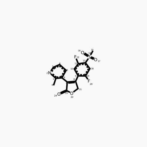 Cc1ncccc1C1=C(c2cc(F)c(S(C)(=O)=O)cc2F)COC1=O